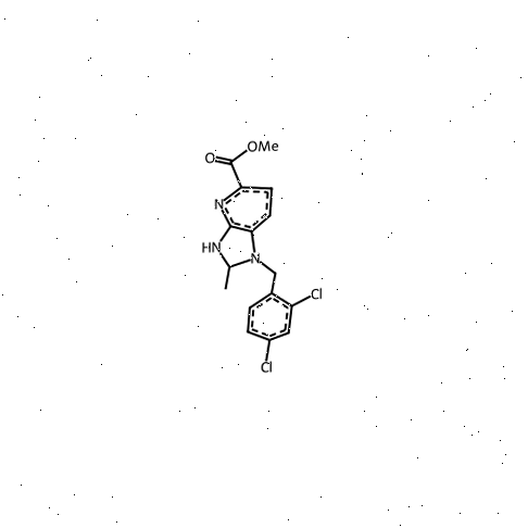 COC(=O)c1ccc2c(n1)NC(C)N2Cc1ccc(Cl)cc1Cl